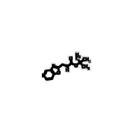 CC(C)(C)OC(=O)NCc1nc2cnccc2o1